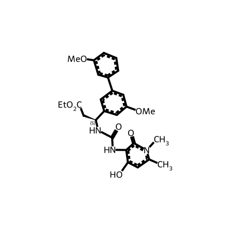 CCOC(=O)C[C@H](NC(=O)Nc1c(O)cc(C)n(C)c1=O)c1cc(OC)cc(-c2cccc(OC)c2)c1